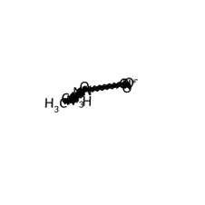 CC(C)CN1CCN(c2ccc(C(=O)NCCCCCCCCCCCCCCO[N+](=O)[O-])cn2)CC1